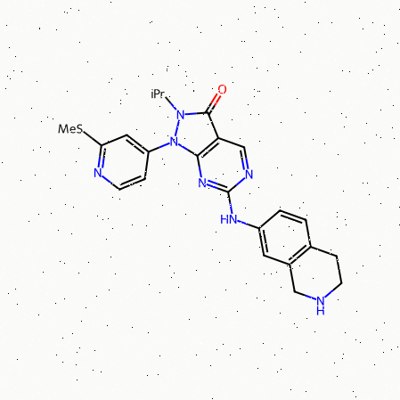 CSc1cc(-n2c3nc(Nc4ccc5c(c4)CNCC5)ncc3c(=O)n2C(C)C)ccn1